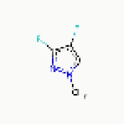 Cn1[c]c(F)c(F)n1